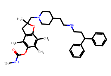 Cc1c(C)c2c(c(C)c1OC(=O)NC(C)(C)C)CC(C)(CN1CCC(CCNCCC(c3ccccc3)c3ccccc3)CC1)O2